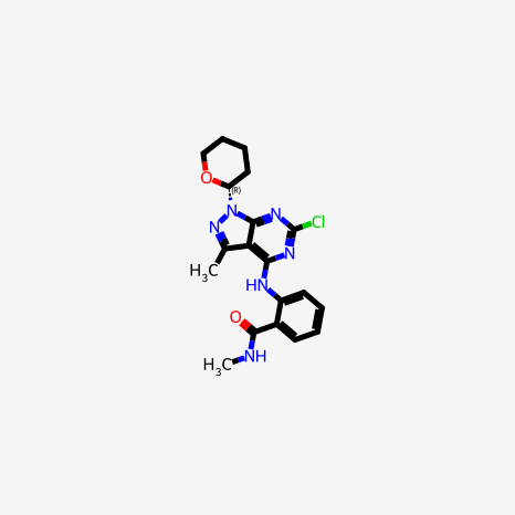 CNC(=O)c1ccccc1Nc1nc(Cl)nc2c1c(C)nn2[C@H]1CCCCO1